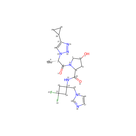 CC(C)(C)[C@@H](C(=O)N1CC(O)CC1C(=O)NC1(Cn2ccnc2)CC(F)(F)C1)n1cc(C2CC2)nn1